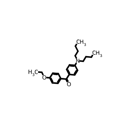 CCCCN(CCCC)c1ccc(C(=O)c2ccc(OCC)cc2)cc1